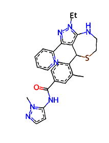 CCn1nc(-c2ccccn2)c2c1NCCSC2c1ccc(C(=O)Nc2ccnn2C)cc1C